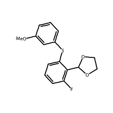 COc1cccc(Sc2cccc(F)c2C2OCCO2)c1